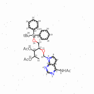 CC(=O)Nc1ncnc2c1ccn2CO[C@H](CO[Si](c1ccccc1)(c1ccccc1)C(C)(C)C)C(OC(C)=O)C(C)OC(C)=O